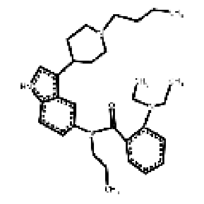 CCCCN1CCC(c2c[nH]c3ccc(N(CCC)C(=O)c4ccccc4N(CC)CC)cc23)CC1